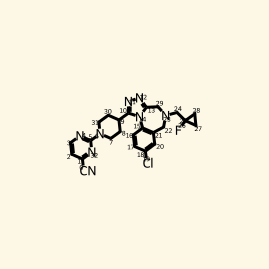 N#Cc1ccnc(N2CCC(c3nnc4n3-c3ccc(Cl)cc3CN(CC3(F)CC3)C4)CC2)n1